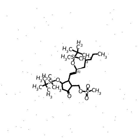 CCCCC[C@@H](C=CC1C(O[Si](C)(C)C(C)(C)C)CC(=O)C1COS(C)(=O)=O)O[Si](C)(C)C(C)(C)C